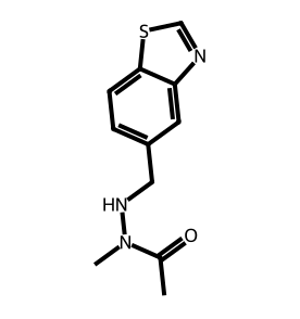 CC(=O)N(C)NCc1ccc2scnc2c1